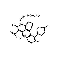 CC(C)Cn1c(=O)c(C(N)=O)c(O)c2c(-c3cccc(F)c3N3CCN(C)CC3)cccc21.O=CO